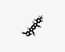 N#Cc1cc(-c2c(C#N)c3cc4c(C#N)c(-c5cc(F)c(C(F)(F)F)cc5F)c(=O)c4cc3c2=O)c(F)cn1